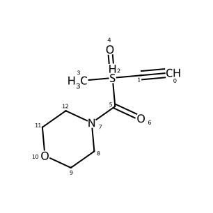 C#C[SH](C)(=O)C(=O)N1CCOCC1